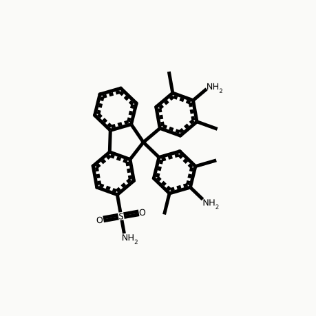 Cc1cc(C2(c3cc(C)c(N)c(C)c3)c3ccccc3-c3ccc(S(N)(=O)=O)cc32)cc(C)c1N